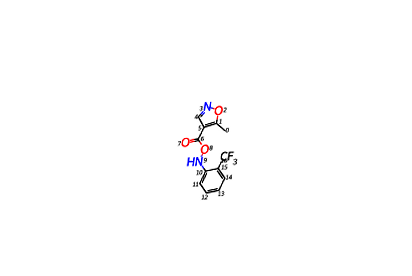 Cc1oncc1C(=O)ONc1ccccc1C(F)(F)F